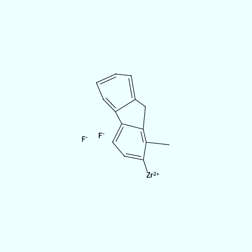 Cc1[c]([Zr+2])ccc2c1Cc1ccccc1-2.[F-].[F-]